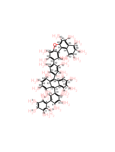 Bc1c(B)c(B)c(-c2c(B)c(B)c(B)c(-c3c4c(B)c(B)c(B)c(B)c4c(-c4c(B)c(B)c(-c5c(B)c(B)c6oc7c(B)c(B)c8c(B)c(B)c(B)c(B)c8c7c6c5B)c(B)c4B)c4c(B)c(B)c(B)c(B)c34)c2B)c(B)c1B